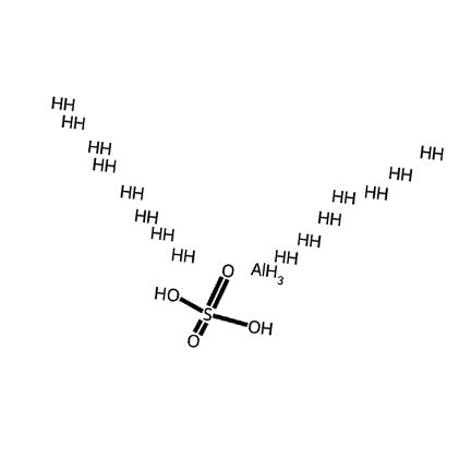 O=S(=O)(O)O.[AlH3].[HH].[HH].[HH].[HH].[HH].[HH].[HH].[HH].[HH].[HH].[HH].[HH].[HH].[HH].[HH]